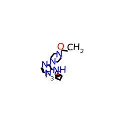 C=CC(=O)N1CCN(c2nccnc2NC2C3CC2C3C(F)(F)F)CC1